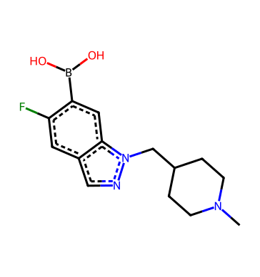 CN1CCC(Cn2ncc3cc(F)c(B(O)O)cc32)CC1